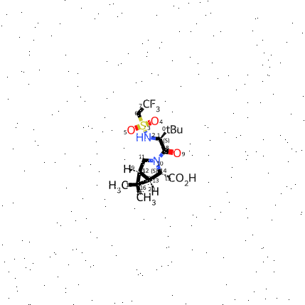 CC(C)(C)[C@H](NS(=O)(=O)CC(F)(F)F)C(=O)N1C[C@H]2[C@@H]([C@H]1C(=O)O)C2(C)C